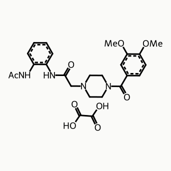 COc1ccc(C(=O)N2CCN(CC(=O)Nc3ccccc3NC(C)=O)CC2)cc1OC.O=C(O)C(=O)O